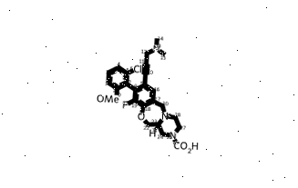 COc1cccc(Cl)c1-c1c(C#CCN(C)C)cc2c(c1F)OC[C@H]1CN(C(=O)O)CCN1C2